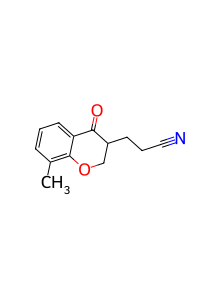 Cc1cccc2c1OCC(CCC#N)C2=O